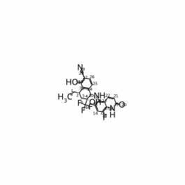 CC[C@@H]1C[C@](O)(C(F)(F)F)[C@@H](Nc2ccc(F)c3[nH]c(=O)ccc23)c2ccc(C#N)c(O)c21